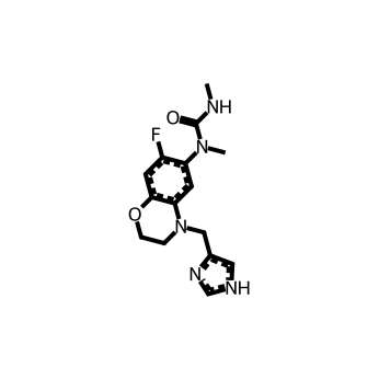 CNC(=O)N(C)c1cc2c(cc1F)OCCN2Cc1c[nH]cn1